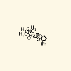 CC(C)c1cccc(C(C)C)c1OC(=O)COC(=O)[C@H](C)N(C)C